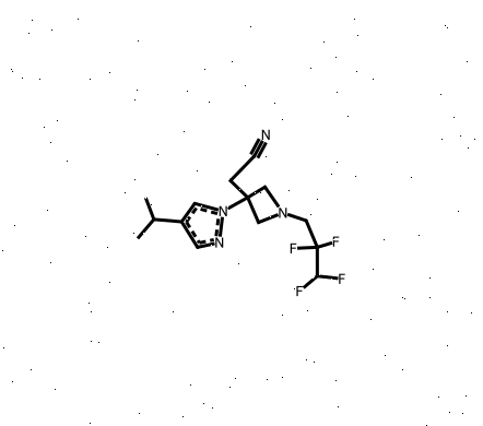 CC(C)c1cnn(C2(CC#N)CN(CC(F)(F)C(F)F)C2)c1